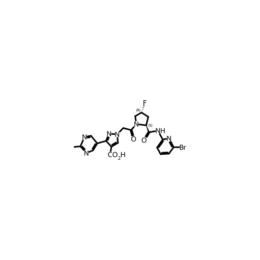 Cc1ncc(-c2nn(CC(=O)N3C[C@H](F)C[C@H]3C(=O)Nc3cccc(Br)n3)cc2C(=O)O)cn1